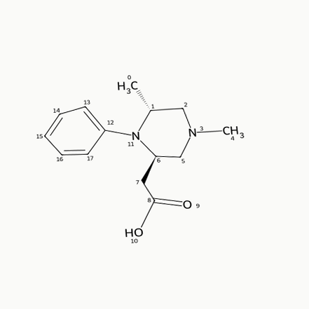 C[C@@H]1CN(C)C[C@@H](CC(=O)O)N1c1ccccc1